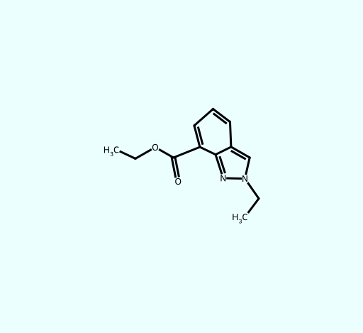 CCOC(=O)c1cccc2cn(CC)nc12